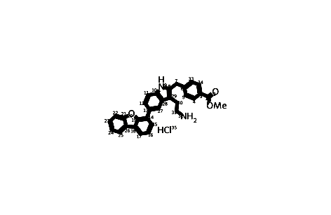 COC(=O)c1ccc(Cc2[nH]c3ccc(-c4cccc5c4oc4ccccc45)cc3c2CCN)cc1.Cl